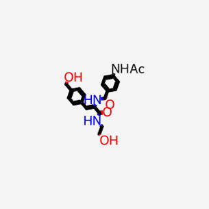 CC(=O)Nc1ccc(C(=O)N/C(=C\c2ccc(CO)cc2)C(=O)NCCO)cc1